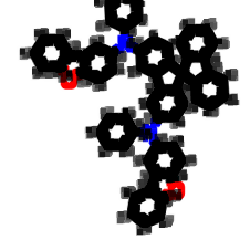 c1ccc(N(c2ccc3c(c2)-c2cc(N(c4ccccc4)c4ccc5oc6ccccc6c5c4)ccc2C32c3ccccc3-c3ccccc32)c2ccc3oc4ccccc4c3c2)cc1